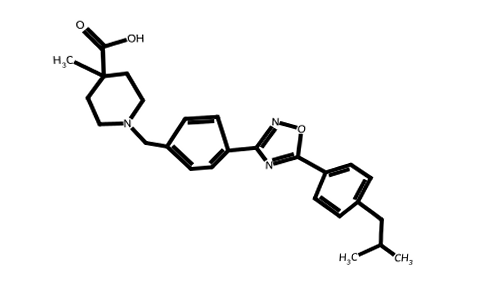 CC(C)Cc1ccc(-c2nc(-c3ccc(CN4CCC(C)(C(=O)O)CC4)cc3)no2)cc1